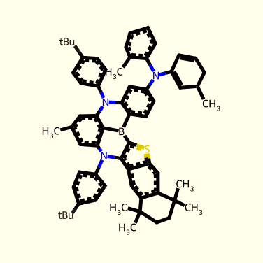 Cc1cc2c3c(c1)N(c1ccc(C(C)(C)C)cc1)c1c(sc4cc5c(cc14)C(C)(C)CCC5(C)C)B3c1ccc(N(C3=CC(C)CC=C3)c3ccccc3C)cc1N2c1ccc(C(C)(C)C)cc1